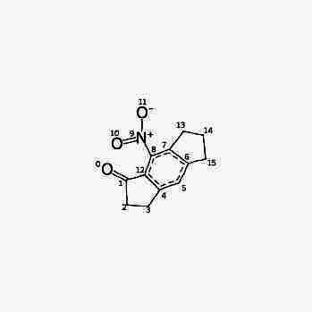 O=C1CCc2cc3c(c([N+](=O)[O-])c21)CCC3